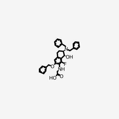 O=C(O)CNc1c(OCc2ccccc2)cc2c(c1F)[C@@H](O)[C@H](N(Cc1ccccc1)Cc1ccccc1)CC2